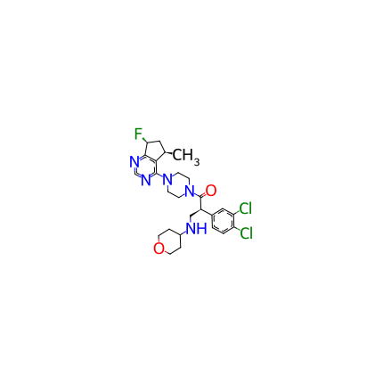 C[C@@H]1C[C@H](F)c2ncnc(N3CCN(C(=O)[C@H](CNC4CCOCC4)c4ccc(Cl)c(Cl)c4)CC3)c21